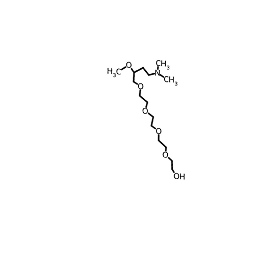 COC(CCN(C)C)COCCOCCOCCOCCO